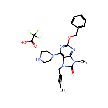 CC#CCn1c(=O)n(C)c2nc(OCc3ccccc3)nc(N3CCNCC3)c21.O=C(O)C(F)(F)F